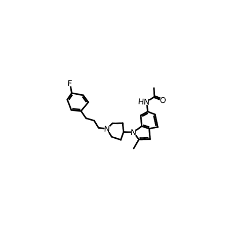 CC(=O)Nc1ccc2cc(C)n(C3CCN(CCCc4ccc(F)cc4)CC3)c2c1